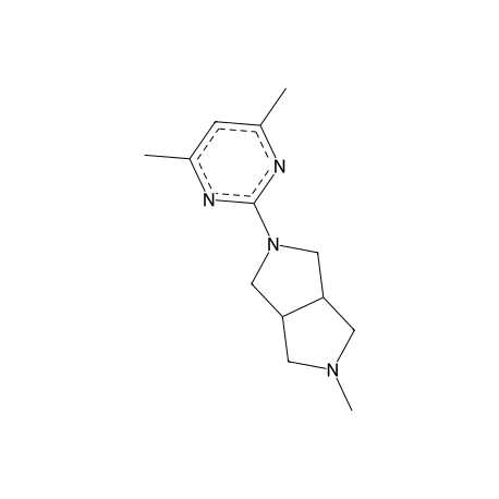 Cc1cc(C)nc(N2CC3CN(C)CC3C2)n1